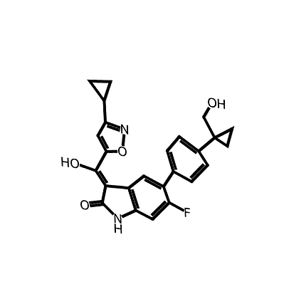 O=C1Nc2cc(F)c(-c3ccc(C4(CO)CC4)cc3)cc2/C1=C(/O)c1cc(C2CC2)no1